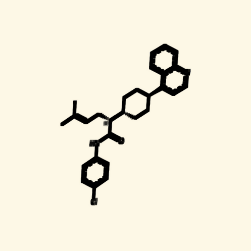 CC(C)=CC[C@@H](C(=O)Nc1ccc(Cl)cc1)[C@H]1CC[C@H](c2ccnc3ccccc32)CC1